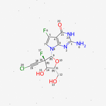 Nc1nc2c(c(F)cn2[C@@H]2O[C@H](CO)C(O)[C@]2(F)C#CCl)c(=O)[nH]1